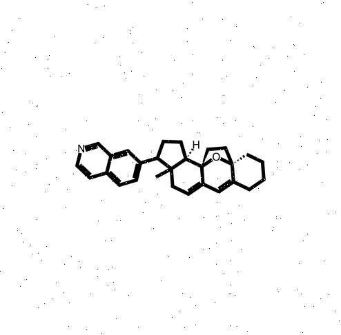 CC12CC=C3C=C4CCCC[C@]45CC[C@]3(O5)[C@@H]1CCC2c1ccc2ccncc2c1